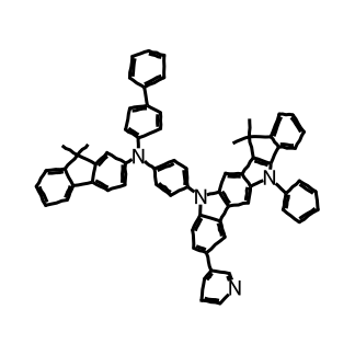 CC1(C)c2ccccc2-c2ccc(N(c3ccc(-c4ccccc4)cc3)c3ccc(-n4c5ccc(-c6cccnc6)cc5c5cc6c(cc54)c4c(n6-c5ccccc5)-c5ccccc5C4(C)C)cc3)cc21